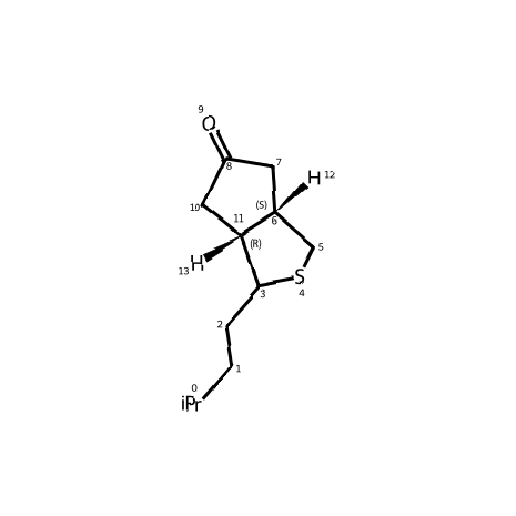 CC(C)CCC1SC[C@H]2CC(=O)C[C@@H]12